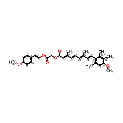 COc1ccc(/C=C/OC(=O)COC(=O)/C=C(C)/C=C/C=C(C)/C=C/c2c(C)cc(OC)c(C)c2C)cc1